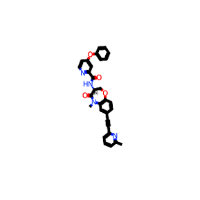 Cc1cccc(C#Cc2ccc3c(c2)N(C)C(=O)[C@@H](NC(=O)c2cc(Oc4ccccc4)ccn2)CO3)n1